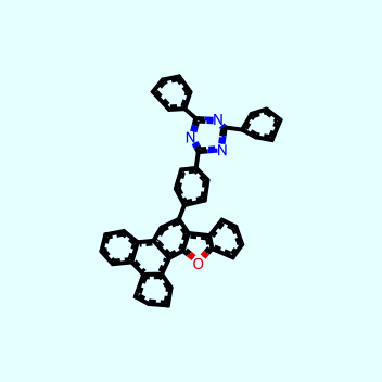 c1ccc(-c2nc(-c3ccccc3)nc(-c3ccc(-c4cc5c6ccccc6c6ccccc6c5c5oc6ccccc6c45)cc3)n2)cc1